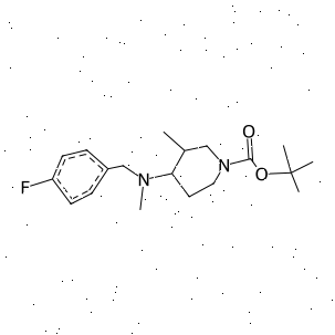 CC1CN(C(=O)OC(C)(C)C)CCC1N(C)Cc1ccc(F)cc1